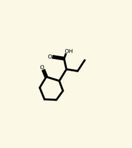 CCC(C(=O)O)C1CCCCC1=O